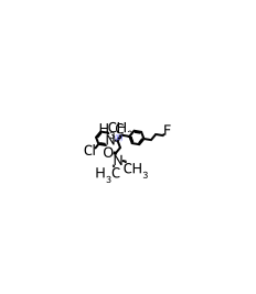 C=C1C=CC(Cl)=CN1/C(CC(=O)N(CC)CC)=C(\C)c1ccc(CCCF)cc1